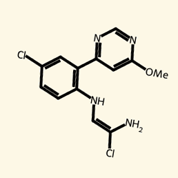 COc1cc(-c2cc(Cl)ccc2N/C=C(\N)Cl)ncn1